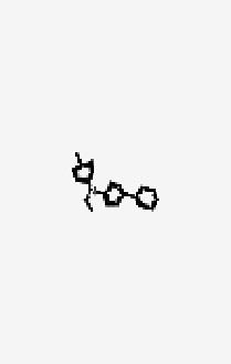 CCN(c1ccc(C)cc1)c1ccc(-c2ccccc2)cc1